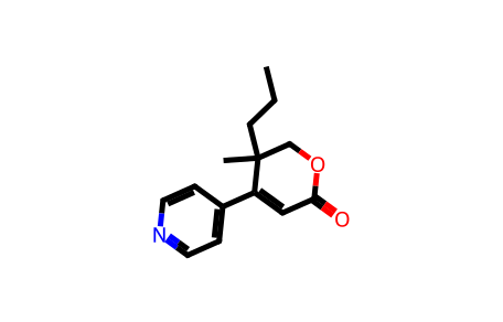 CCCC1(C)COC(=O)C=C1c1ccncc1